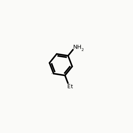 CCc1[c]ccc(N)c1